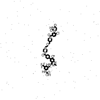 COc1cc2nc(C)nc(N[C@H](C)c3cc(NC(=O)O)cc(C(F)(F)F)c3)c2cc1C1CCC(C(=O)N2CCN(CCOCC3CCN(C(=O)c4ccc(Cl)c(N5CCC(=O)NC5=O)c4)CC3)CC2)CC1